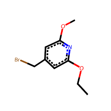 CCOc1cc(CBr)cc(OC)n1